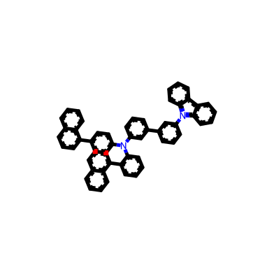 c1cc(-c2cccc(-n3c4ccccc4c4ccccc43)c2)cc(N(c2ccc(-c3cccc4ccccc34)cc2)c2ccccc2-c2cccc3ccccc23)c1